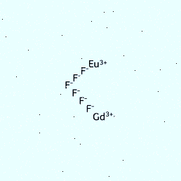 [Eu+3].[F-].[F-].[F-].[F-].[F-].[F-].[Gd+3]